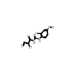 CCOc1ccc(NC(=O)NC(=O)C(Cl)CCl)c(Cl)c1